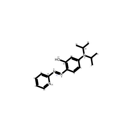 CC(C)N(c1ccc(/N=N/c2ccccn2)c(O)c1)C(C)C